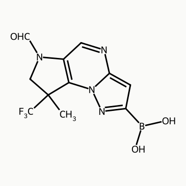 CC1(C(F)(F)F)CN(C=O)c2cnc3cc(B(O)O)nn3c21